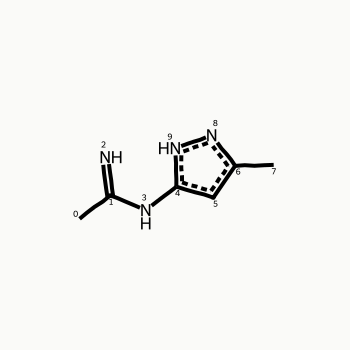 CC(=N)Nc1cc(C)n[nH]1